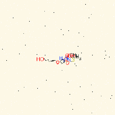 CC1(C)SCCN(S(=O)(=O)c2ccc(OCC#CCCCCO)cc2)C1(O)C(N)=O